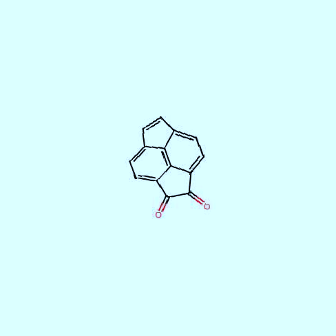 O=c1c(=O)c2ccc3ccc4ccc1c2c43